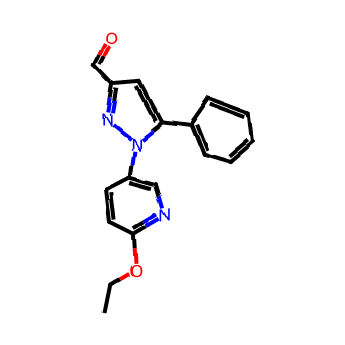 CCOc1ccc(-n2nc(C=O)cc2-c2ccccc2)cn1